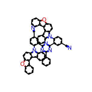 N#Cc1ccc(-n2c3ccccc3c3c4c(ccc32)oc2ccccc24)c(-c2nc(-c3ccccc3)nc(-c3cc(C#N)ccc3-n3c4ccccc4c4c5c(ccc43)oc3ccccc35)n2)c1